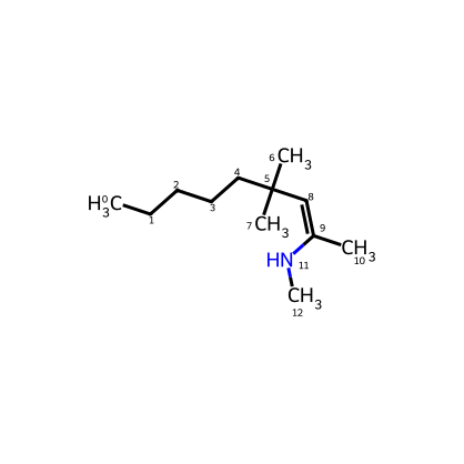 CCCCCC(C)(C)/C=C(/C)NC